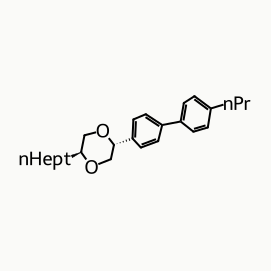 CCCCCCC[C@H]1CO[C@H](c2ccc(-c3ccc(CCC)cc3)cc2)CO1